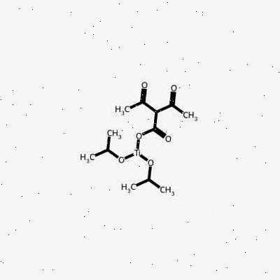 CC(=O)C(C(C)=O)C(=O)[O][Ti]([O]C(C)C)[O]C(C)C